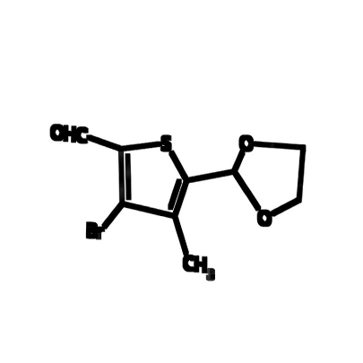 Cc1c(C2OCCO2)sc(C=O)c1Br